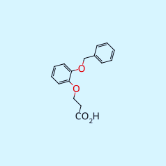 O=C(O)CCOc1ccccc1OCc1ccccc1